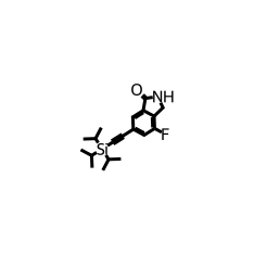 CC(C)[Si](C#Cc1cc(F)c2c(c1)C(=O)NC2)(C(C)C)C(C)C